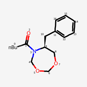 CCCCC(=O)N1COCOC[C@@H]1Cc1ccccc1